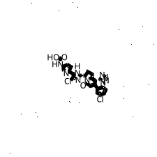 O=C(O)Nc1ccc(-c2[nH]c([C@@H]3CCc4cc(-c5cc(Cl)ccc5-n5cnnn5)cc(=O)n43)nc2Cl)nc1